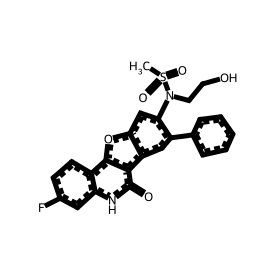 CS(=O)(=O)N(CCO)c1cc2oc3c4ccc(F)cc4[nH]c(=O)c3c2cc1-c1ccccc1